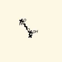 CC(C)(C)CC(C)(CO)COCCCCNC(=O)C(C)(C)C